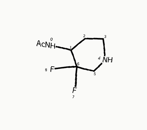 CC(=O)NC1CCNCC1(F)F